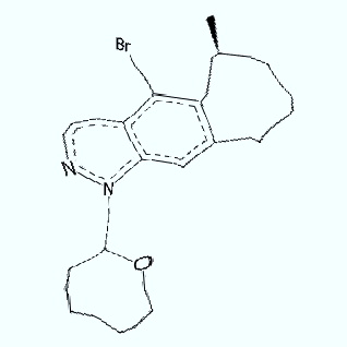 C[C@H]1CCCc2cc3c(cnn3C3CCCCO3)c(Br)c21